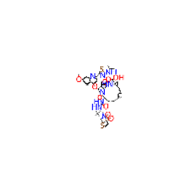 COc1ccc2c(O[C@@H]3C[C@H]4C(=O)N[C@]5(C(=O)O)CC5/C=C\CCCCC[C@H](NC(=O)N[C@H](CN5Cc6sccc6S5(=O)=O)C(C)(C)C)C(=O)N4C3)cc(-c3csc(NC(C)C)n3)nc2c1